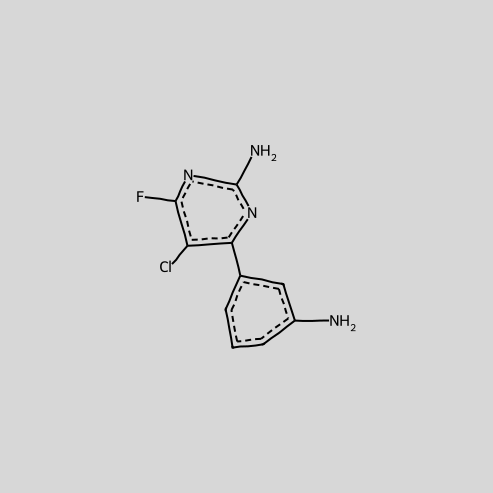 Nc1cccc(-c2nc(N)nc(F)c2Cl)c1